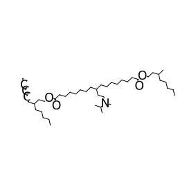 C=C=C=C=CC(CCCCC)CCOC(=O)CCCCCCCC(CCCCCCCC(=O)OCCC(C)CCCCC)CCN(C)C(C)C